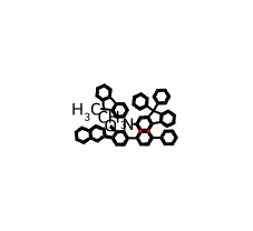 CC1(C)c2ccccc2-c2ccc(N(c3ccc4c(c3)C(c3ccccc3)(c3ccccc3)c3ccccc3-4)c3c(-c4ccc(-c5ccccc5)cc4)ccc4c3oc3cc5ccccc5cc34)cc21